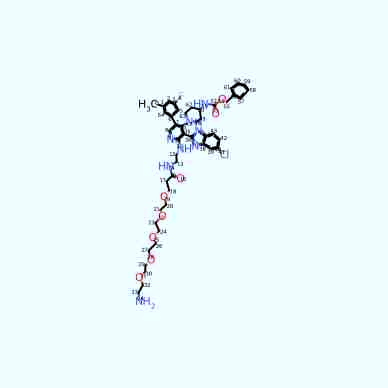 Cc1cc(F)cc(-c2cnc(NCCNC(=O)CCOCCOCCOCCOCCOCCN)c(-c3nc4cc(Cl)ccc4[nH]3)c2N2CCC(NC(=O)OCc3ccccc3)CC2)c1